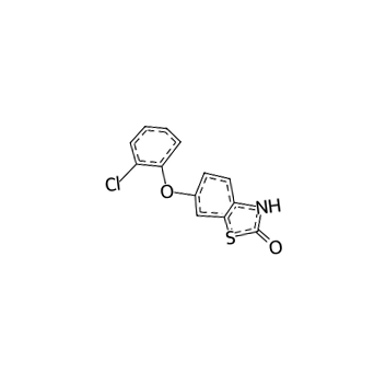 O=c1[nH]c2ccc(Oc3ccccc3Cl)cc2s1